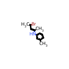 C=C(Br)/C=C(\C)Nc1cccc(C)c1